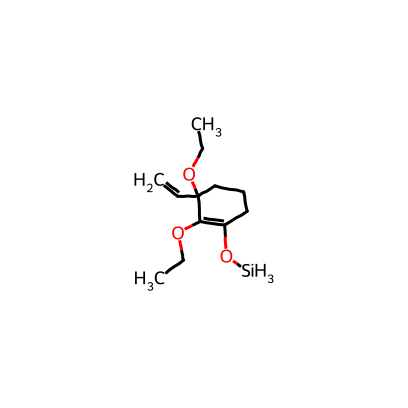 C=CC1(OCC)CCCC(O[SiH3])=C1OCC